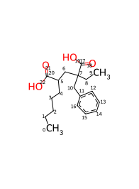 CCCCCC(CC(CC)(Cc1ccccc1)C(=O)O)C(=O)O